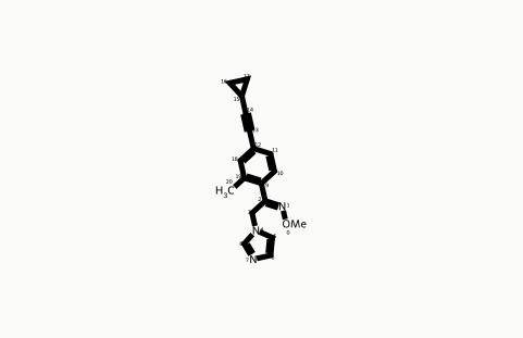 CO/N=C(\Cn1ccnc1)c1ccc(C#CC2CC2)cc1C